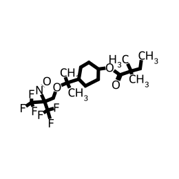 CCC(C)(C)C(=O)OC1CCC(C(C)(C)OCC(N=O)(C(F)(F)F)C(F)(F)F)CC1